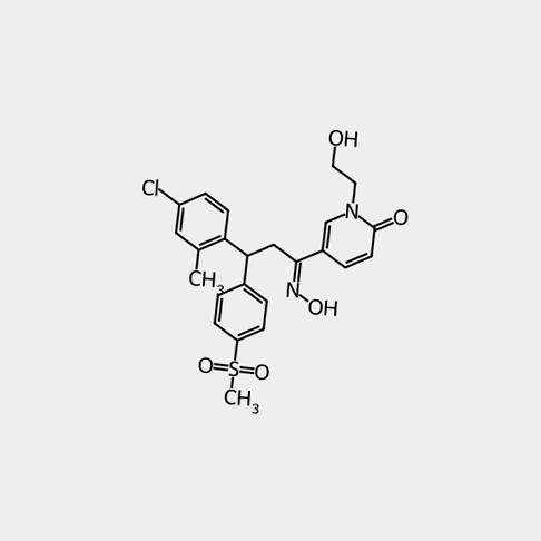 Cc1cc(Cl)ccc1C(CC(=NO)c1ccc(=O)n(CCO)c1)c1ccc(S(C)(=O)=O)cc1